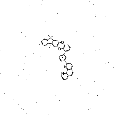 CC1(C)c2ccccc2-c2cc3c(cc21)Oc1cccc(-c2cccc(-c4ccc5ccc6cccnc6c5n4)c2)c1O3